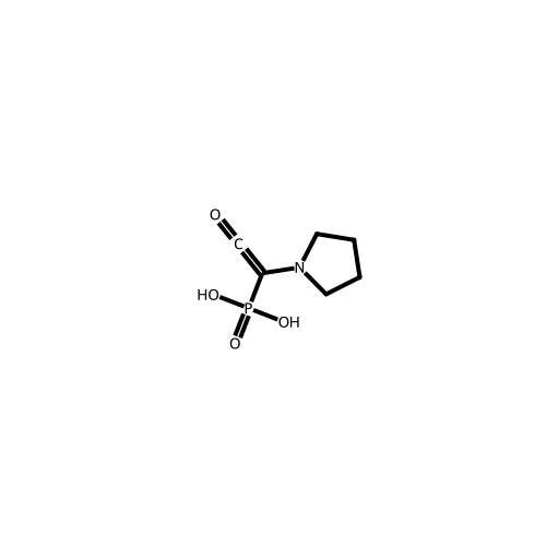 O=C=C(N1CCCC1)P(=O)(O)O